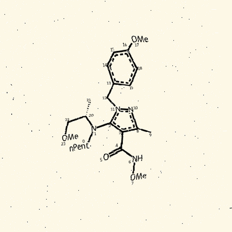 CCCCCN(c1c(C(=O)NOC)c(C)nn1Cc1ccc(OC)cc1)[C@@H](C)COC